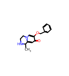 CC1NCCn2cc(OCc3ccccc3)c(=O)cc21